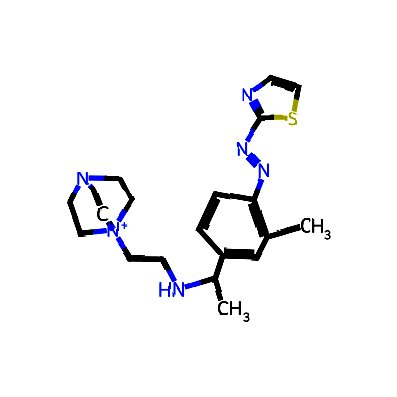 Cc1cc(C(C)NCC[N+]23CCN(CC2)CC3)ccc1N=Nc1nccs1